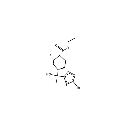 CCOC(=O)[C@@H]1CC[C@@H]([C@](C)(O)c2ncc(Br)s2)C[C@@H]1C